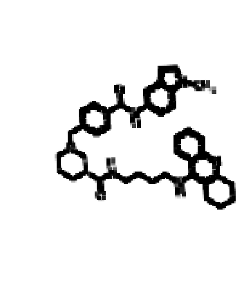 Cn1ccc2cc(NC(=O)c3ccc(CN4CCC[C@H](C(=O)NCCCCNc5c6c(nc7ccccc57)CCCC6)C4)cc3)ccc21